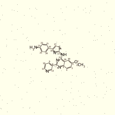 COc1ccc2nc(-c3cccnc3)nc(Nc3nc(-c4ccc(N)cc4)cs3)c2c1